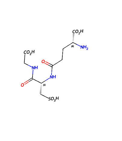 N[C@H](CCC(=O)N[C@H](CS(=O)(=O)O)C(=O)NCC(=O)O)C(=O)O